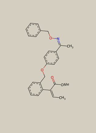 CC=C(C(=O)OC)c1ccccc1COc1ccc(/C(C)=N\OCc2ccccc2)cc1